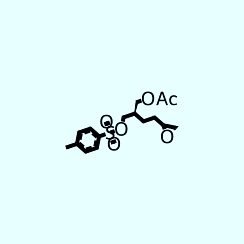 CC(=O)OC[C@@H](CCC1CO1)COS(=O)(=O)c1ccc(C)cc1